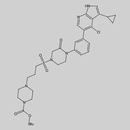 CC(C)(C)OC(=O)N1CCN(CCCS(=O)(=O)N2CCN(c3cccc(-c4cnc5[nH]cc(C6CC6)c5c4Cl)c3)C(=O)C2)CC1